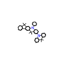 CC1(C)c2ccccc2-c2cc3c(cc21)N(c1ccccc1)c1ccc(N2c4ccccc4C(C)(C)c4ccccc42)cc1C3(C)C